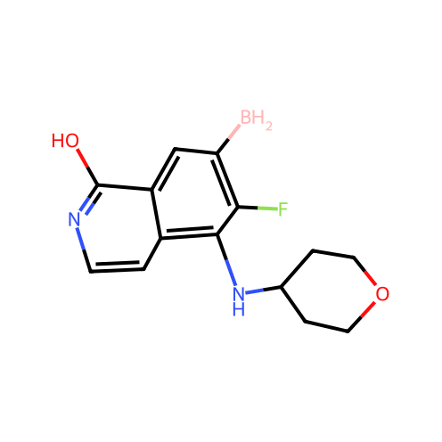 Bc1cc2c(O)nccc2c(NC2CCOCC2)c1F